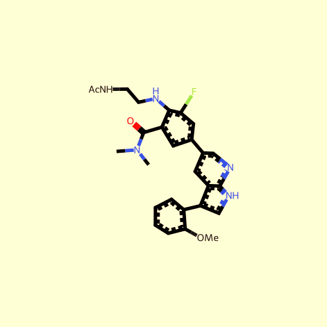 COc1ccccc1-c1c[nH]c2ncc(-c3cc(F)c(NCCNC(C)=O)c(C(=O)N(C)C)c3)cc12